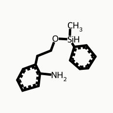 C[SiH](OCCc1ccccc1N)c1ccccc1